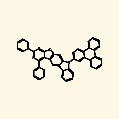 c1ccc(-c2nc(-c3ccccc3)c3c(n2)oc2cc4c(cc23)c2ccccc2n4-c2ccc3c4ccccc4c4ccccc4c3c2)cc1